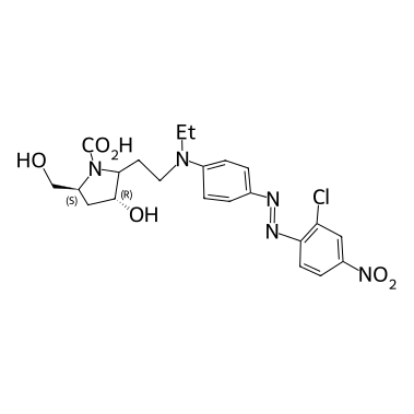 CCN(CCC1[C@H](O)C[C@@H](CO)N1C(=O)O)c1ccc(N=Nc2ccc([N+](=O)[O-])cc2Cl)cc1